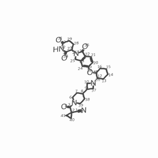 N#CC1(C(=O)N2CCC(C3CN([C@H]4CCCC[C@@H]4Oc4ccc5c(c4)CN(C4CCC(=O)NC4=O)C5=O)C3)CC2)CC1